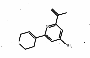 C=C(C)c1cc(N)cc(C2=CCSCC2)n1